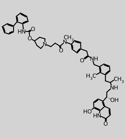 Cc1c(CNC(=O)Cc2ccc(N(C)C(=O)CCN3CCC(OC(=O)Nc4ccccc4-c4ccccc4)CC3)cc2)cccc1CC(C)NC[C@H](O)c1ccc(O)c2[nH]c(=O)ccc12